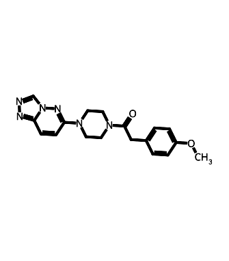 COc1ccc(CC(=O)N2CCN(c3ccc4nncn4n3)CC2)cc1